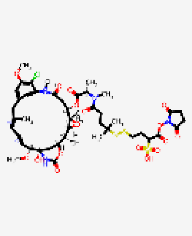 COc1cc2cc(c1Cl)N(C)C(=O)C[C@H](OC(=O)[C@H](C)N(C)C(=O)CCC(C)(C)SSCCC(C(=O)ON1C(=O)CCC1=O)S(=O)(=O)O)[C@]1(C)O[C@H]1[C@H](C)[C@@H]1C[C@@](O)(NC(=O)O1)[C@H](OC)/C=C/C=C(\C)C2